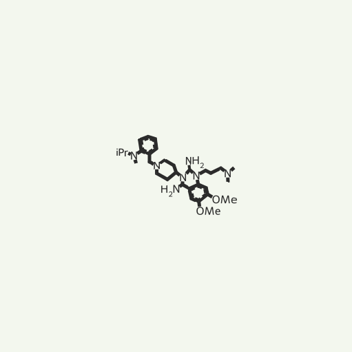 COc1cc2c(cc1OC)N(CCCN(C)C)C(N)N(C1CCN(Cc3ccccc3N(C)C(C)C)CC1)C2N